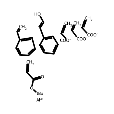 C=CC(=O)OC(C)(C)C.C=CC(=O)[O-].C=CC(=O)[O-].C=CC(=O)[O-].C=Cc1ccccc1.OC=Cc1ccccc1.[Al+3]